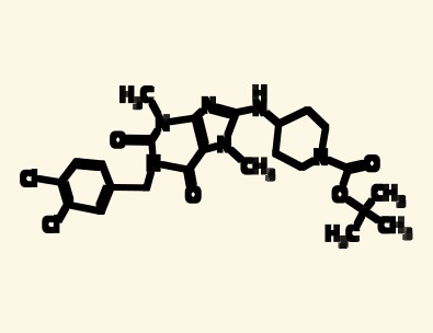 Cn1c(NC2CCN(C(=O)OC(C)(C)C)CC2)nc2c1c(=O)n(Cc1ccc(Cl)c(Cl)c1)c(=O)n2C